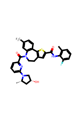 Cc1cccc(F)c1NC(=O)c1cc2c(s1)-c1ccc(C(F)(F)F)cc1N(C(=O)c1cccc(N3C[C@H](O)C[C@@H]3C)n1)CC2